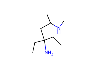 CCC(N)(CC)CC(C)NC